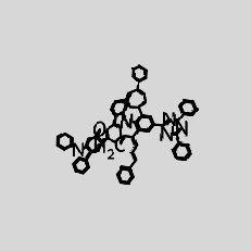 C=C/C(=C\C=C\c1ccccc1)c1cc(-c2nc(-c3ccccc3)nc(-c3ccccc3)n2)cc(C2=CC=C(c3ccccc3)C#CC2)c1-n1c2c(c3ccccc31)-c1oc3cc4c(cc3c1CC2)c1ccccc1n4-c1ccccc1